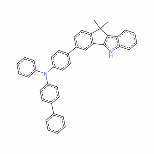 CC1(C)c2ccc(-c3ccc(N(c4ccccc4)c4ccc(-c5ccccc5)cc4)cc3)cc2-c2[nH]c3ccccc3c21